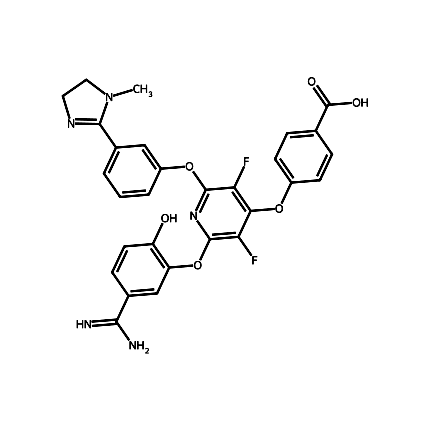 CN1CCN=C1c1cccc(Oc2nc(Oc3cc(C(=N)N)ccc3O)c(F)c(Oc3ccc(C(=O)O)cc3)c2F)c1